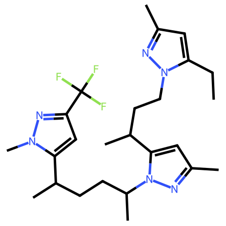 CCc1cc(C)nn1CCC(C)c1cc(C)nn1C(C)CCC(C)c1cc(C(F)(F)F)nn1C